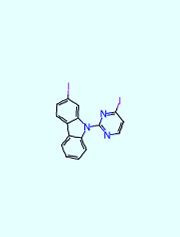 Ic1ccc2c3ccccc3n(-c3nccc(I)n3)c2c1